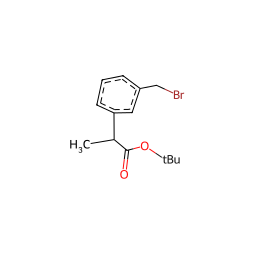 CC(C(=O)OC(C)(C)C)c1cccc(CBr)c1